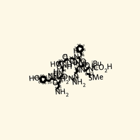 CC[C@H](C)[C@H](NC(=O)[C@H](CCSC)NC(=O)[C@H](CCCN=C(N)N)NC(=O)[C@H](Cc1ccccc1)NC(=O)CNC(=O)[C@H](CO)NC(=O)CNC(=O)[C@H](CCCCN)NC(=O)[C@@H](N)Cc1ccc(O)cc1)C(=O)O